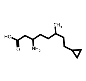 CC(CCC(N)CC(=O)O)CCC1CC1